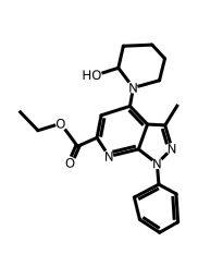 CCOC(=O)c1cc(N2CCCCC2O)c2c(C)nn(-c3ccccc3)c2n1